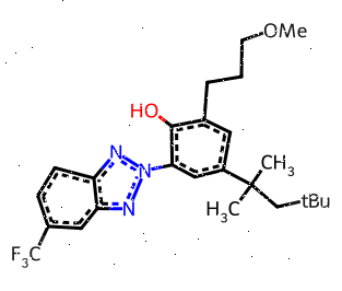 COCCCc1cc(C(C)(C)CC(C)(C)C)cc(-n2nc3ccc(C(F)(F)F)cc3n2)c1O